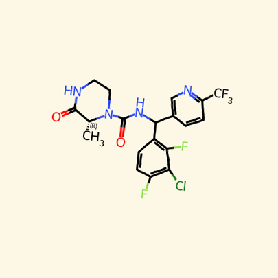 C[C@@H]1C(=O)NCCN1C(=O)NC(c1ccc(C(F)(F)F)nc1)c1ccc(F)c(Cl)c1F